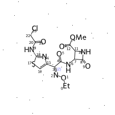 CCO/N=C(\C(=O)NC1C(=O)NC1C(=O)OC)c1csc(NC(=O)CCl)n1